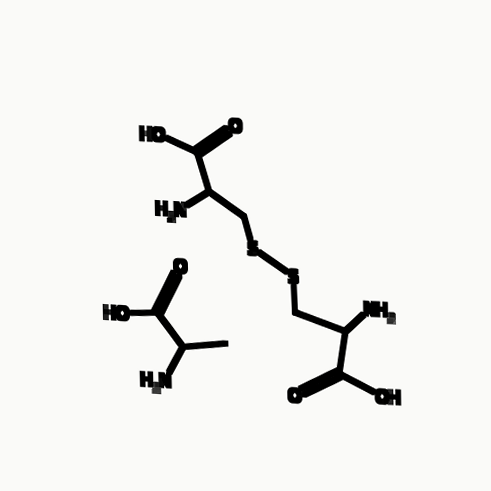 CC(N)C(=O)O.NC(CSSCC(N)C(=O)O)C(=O)O